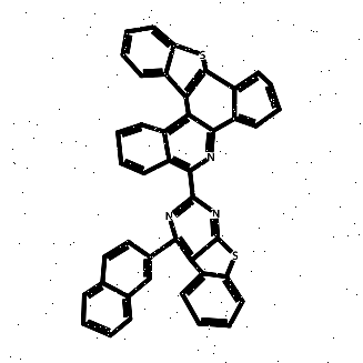 c1ccc2cc(-c3nc(-c4nc5c6ccccc6c6sc7ccccc7c6c5c5ccccc45)nc4sc5ccccc5c34)ccc2c1